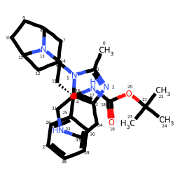 Cc1nc2c(n1C1CC3CCC(C1)N3CC[C@H](NC(=O)OC(C)(C)C)c1ccccc1)CNCC2